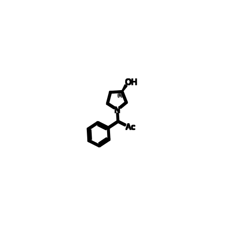 CC(=O)C(c1ccccc1)N1CC[C@@H](O)C1